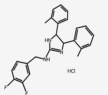 Cc1ccccc1C1N=C(NCc2ccc(F)c(F)c2)NC1c1ccccc1C.Cl